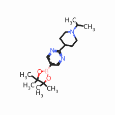 CC(C)N1CCC(c2ncc(B3OC(C)(C)C(C)(C)O3)cn2)CC1